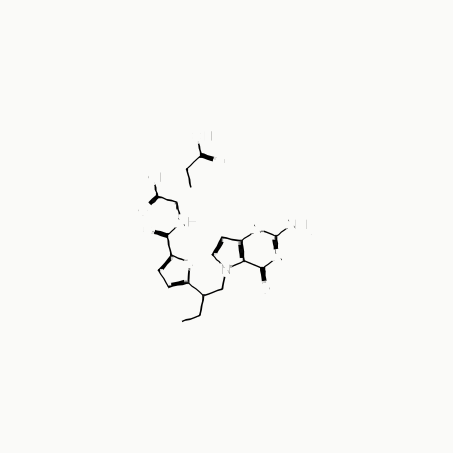 CCC(Cn1ccc2[nH]c(N)nc(=O)c21)c1ccc(C(=O)N[C@@H](CCC(=O)O)C(=O)O)s1